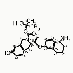 CC(C)(C)OC(=O)N1Cc2cc(O)ccc2C[C@H]1C(=O)Oc1ccc2c(c1)CCC[C@H]2N